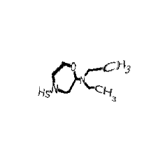 CCN(CC)C1CN(S)CCO1